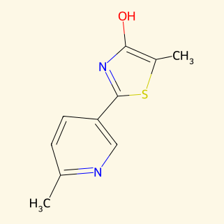 Cc1ccc(-c2nc(O)c(C)s2)cn1